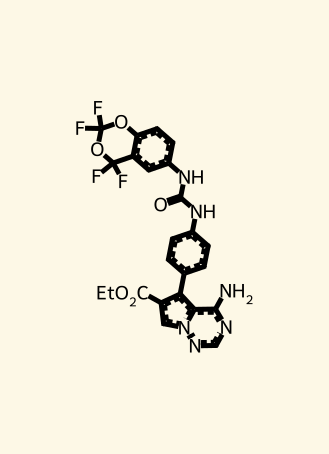 CCOC(=O)c1cn2ncnc(N)c2c1-c1ccc(NC(=O)Nc2ccc3c(c2)C(F)(F)OC(F)(F)O3)cc1